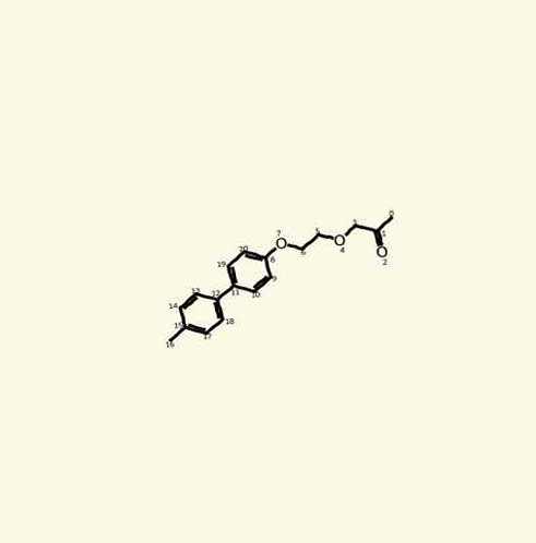 CC(=O)COCCOc1ccc(-c2ccc(C)cc2)cc1